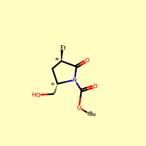 CC[C@@H]1C[C@@H](CO)N(C(=O)OC(C)(C)C)C1=O